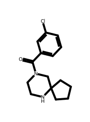 O=C(c1cccc(Cl)c1)N1CCNC2(CCCC2)C1